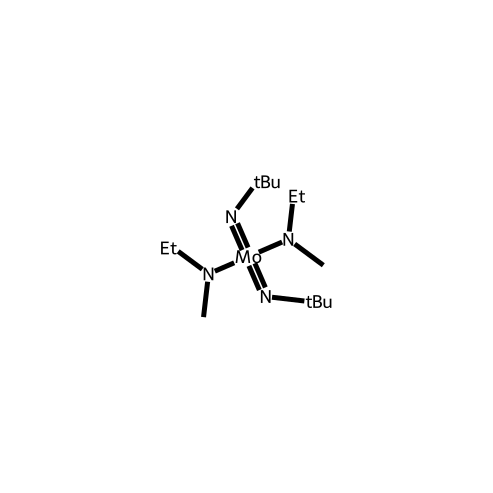 CC[N](C)[Mo](=[N]C(C)(C)C)(=[N]C(C)(C)C)[N](C)CC